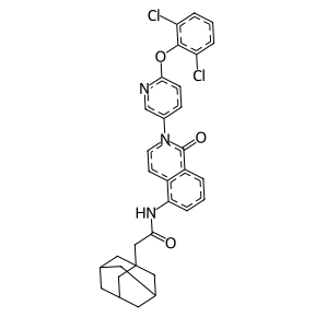 O=C(CC12CC3CC(CC(C3)C1)C2)Nc1cccc2c(=O)n(-c3ccc(Oc4c(Cl)cccc4Cl)nc3)ccc12